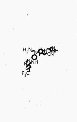 Cc1c(N(CCN)C2CCC(Nc3ncnc4sc(CC(F)(F)F)cc34)CC2)ccc2c1cc(C#N)n2Cc1cn[nH]c1